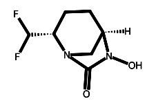 O=C1N(O)[C@@H]2CC[C@@H](C(F)F)N1C2